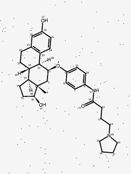 C[C@]12C[C@H](Oc3ccc(NC(=O)CCCN4CCCC4)cc3)[C@@H]3c4ccc(O)cc4CC[C@H]3[C@@H]1CC[C@@H]2O